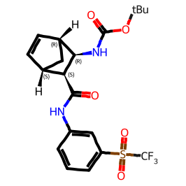 CC(C)(C)OC(=O)N[C@H]1[C@@H](C(=O)Nc2cccc(S(=O)(=O)C(F)(F)F)c2)[C@@H]2C=C[C@H]1C2